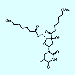 CCCCCCCCCCCCCCCC(=O)OC[C@H]1O[C@@H](n2cc(F)c(=O)[nH]c2=O)C[C@@]1(O)C(=O)CCCCCCCCCCCCCCC